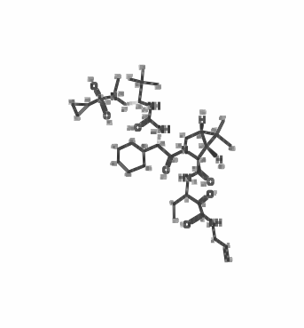 C=CCNC(=O)C(=O)C(CC)NC(=O)[C@@H]1[C@@H]2[C@H](CN1C(=O)[C@@H](NC(=O)N[C@H](CN(C)S(=O)(=O)C1CC1)C(C)(C)C)C1CCCCC1)C2(C)C